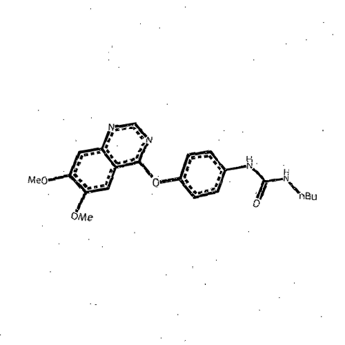 CCCCNC(=O)Nc1ccc(Oc2ncnc3cc(OC)c(OC)cc23)cc1